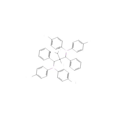 Cc1ccc(P(c2ccc(C)cc2)C(c2ccccc2)C(C)(C(C)C)C(c2ccccc2)P(c2ccc(C)cc2)c2ccc(C)cc2)cc1